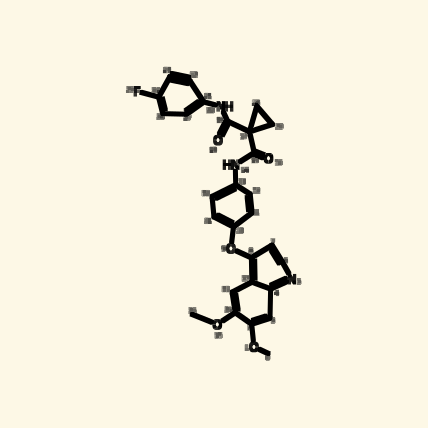 COc1cc2nccc(Oc3ccc(NC(=O)C4(C(=O)Nc5c#cc(F)cc5)CC4)cc3)c2cc1OC